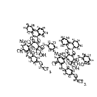 CO[C@@]1(c2ccc(Cl)c(Cc3ccc(OCC(F)(F)F)cc3)c2)OC(CO)(CO)[C@@H](OCc2ccccc2)[C@H](OCc2ccccc2)[C@H]1OCc1ccccc1.CO[C@@]1(c2ccc(Cl)c(Cc3ccc(OCC(F)(F)F)cc3)c2)O[C@@](C=O)(CO)[C@@H](OCc2ccccc2)[C@H](OCc2ccccc2)[C@H]1OCc1ccccc1